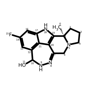 C[C@]12CCCN1CC1=NNC(O)c3cc(F)cc4[nH]c2c1c34